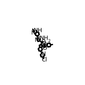 Cc1ccc(S(=O)(=O)n2c(C(=O)c3cnn(-c4ccc5[nH]c(C)nc5c4)c3N)cc3ccc(-c4ccc(Cl)cn4)cc32)cc1